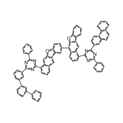 c1ccc(-c2cccc(-c3cccc(-c4nc(-c5ccccc5)nc(-c5cccc6cc7c(cc56)oc5ccc(-c6c8cccc(-c9nc(-c%10ccccc%10)nc(-c%10ccc%11c(ccc%12ccccc%12%11)c%10)n9)c8cc8c6oc6ccccc68)cc57)n4)c3)c2)cc1